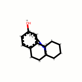 CN1CCCC23CCCCC12c1cc(O)ccc1CC3